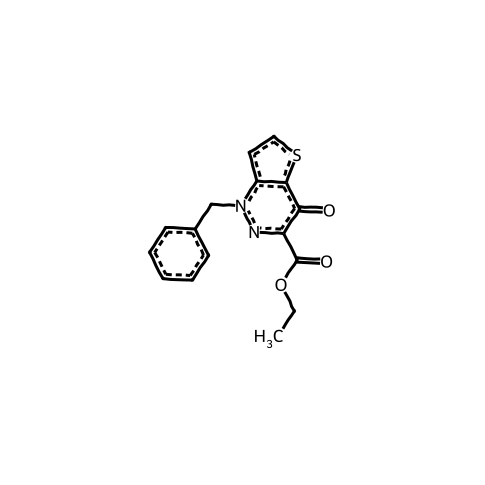 CCOC(=O)c1nn(Cc2ccccc2)c2ccsc2c1=O